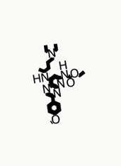 CCOC(=O)Nc1cc(NC(C)CCCN(CC)CC)c2ncc(-c3ccc(OC)cc3)nc2n1